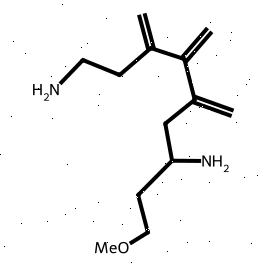 C=C(CCN)C(=C)C(=C)CC(N)CCOC